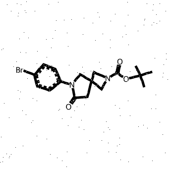 CC(C)(C)OC(=O)N1CC2(CC(=O)N(c3ccc(Br)cc3)C2)C1